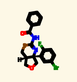 O=C(NC1=N[C@@]2(c3cc(Br)ccc3F)COC[C@H]2CS1)c1ccccc1